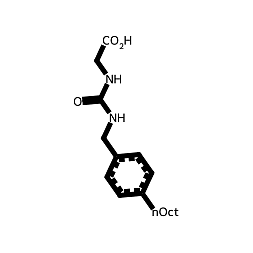 CCCCCCCCc1ccc(CNC(=O)NCC(=O)O)cc1